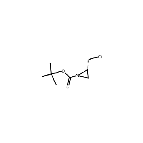 CC(C)(C)OC(=O)N1C[C@H]1CCl